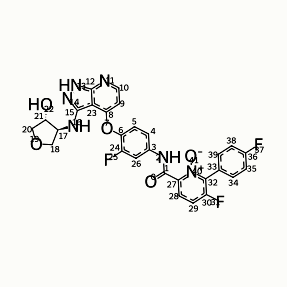 O=C(Nc1ccc(Oc2ccnc3[nH]nc(N[C@H]4COC[C@@H]4O)c23)c(F)c1)c1ccc(F)c(-c2ccc(F)cc2)[n+]1[O-]